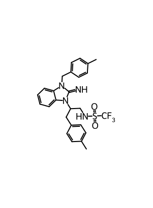 Cc1ccc(CC(CNS(=O)(=O)C(F)(F)F)n2c(=N)n(Cc3ccc(C)cc3)c3ccccc32)cc1